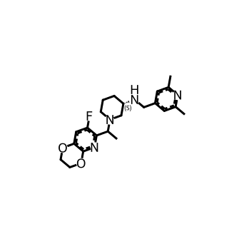 Cc1cc(CN[C@H]2CCCN(C(C)c3nc4c(cc3F)OCCO4)C2)cc(C)n1